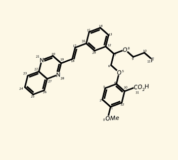 COc1ccc(OCC(OCCF)c2cccc(/C=C/c3cnc4ccccc4n3)c2)c(C(=O)O)c1